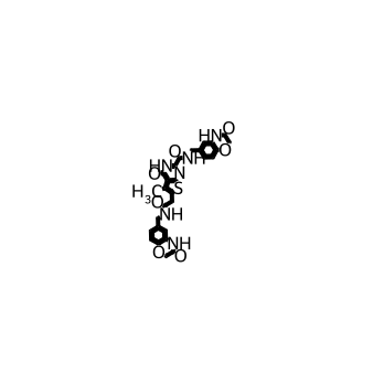 Cc1c(CC(=O)NCc2ccc3c(c2)NC(=O)CO3)sc2nc(C(=O)NCc3ccc4c(c3)NC(=O)CO4)[nH]c(=O)c12